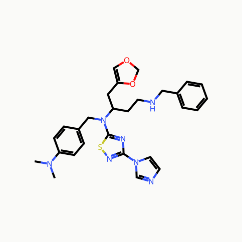 CN(C)c1ccc(CN(c2nc(-n3ccnc3)ns2)C(CCNCc2ccccc2)CC2=COCO2)cc1